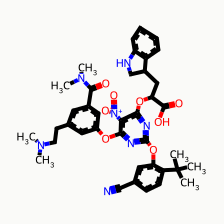 CN(C)CCc1cc(Oc2nc(Oc3cc(C#N)ccc3C(C)(C)C)nc(OC(CC3CNc4ccccc43)C(=O)O)c2[N+](=O)[O-])cc(C(=O)N(C)C)c1